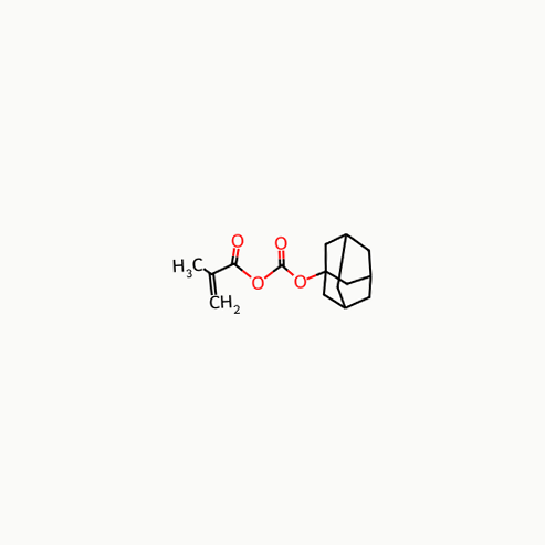 C=C(C)C(=O)OC(=O)OC12CC3CC(CC(C3)C1)C2